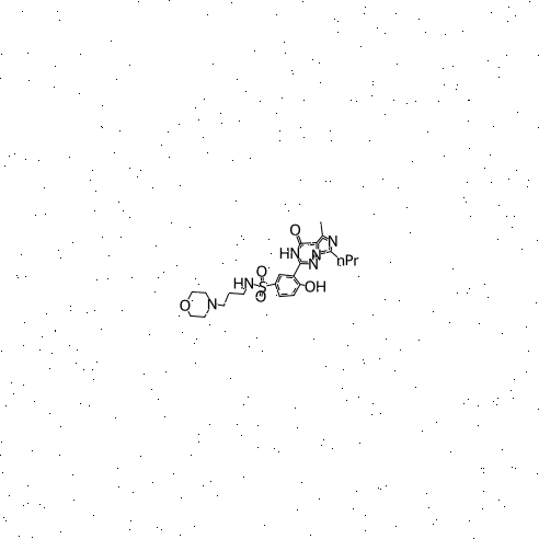 CCCc1nc(C)c2c(=O)[nH]c(-c3cc(S(=O)(=O)NCCCN4CCOCC4)ccc3O)nn12